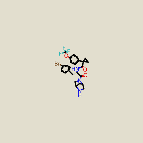 O=C([C@H](Cc1ccc(Br)cc1)NC(=O)C1(c2ccc(OC(F)(F)F)cc2)CC1)N1CC2CC1CN2